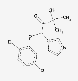 CC(C)(C)C(=O)C(Oc1cc(Cl)ccc1Cl)n1ccnc1